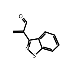 C=C(C=O)c1nsc2ccccc12